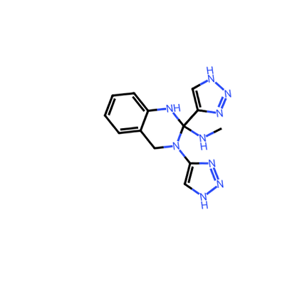 CNC1(c2c[nH]nn2)Nc2ccccc2CN1c1c[nH]nn1